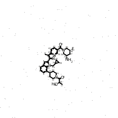 Cc1c(-c2cc3cccc(C4CCN(C(=O)C(C)O)CC4)c3n2CC2CC2)nn2cc(C(=O)N3C[C@H](N)C[C@@H](F)C3)ccc12